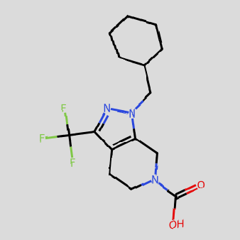 O=C(O)N1CCc2c(C(F)(F)F)nn(CC3CCCCC3)c2C1